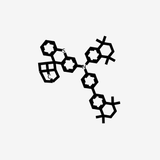 CC1(C)CCC(C)(C)c2cc(-c3ccc(N(c4ccc5c(c4)Sc4ccccc4C54C5CC6CC7CC4C75C6)c4ccc5c(c4)C(C)(C)CCC5(C)C)cc3)ccc21